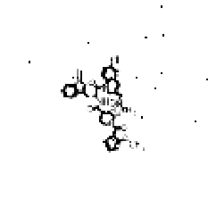 COc1ccccc1C(=O)N1CCC(C(=O)N[C@H](Cc2c[nH]c3ccccc23)C(=O)N2CC(CN(C)C)Cc3cc(Cl)ccc32)CC1